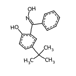 CC(C)(C)c1ccc(O)c(C(=NO)c2ccccc2)c1